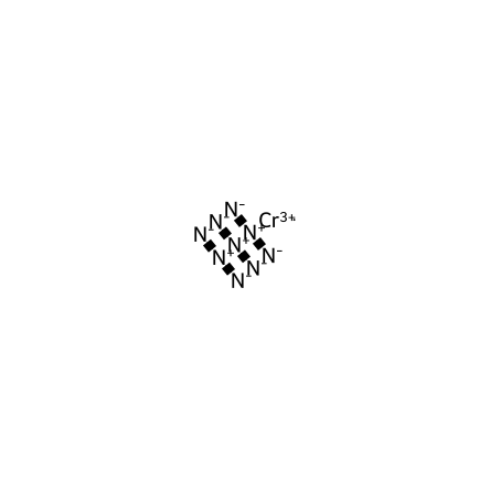 [Cr+3].[N-]=[N+]=[N-].[N-]=[N+]=[N-].[N-]=[N+]=[N-]